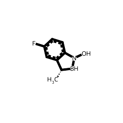 C[C@H]1BN(O)c2ccc(F)cc21